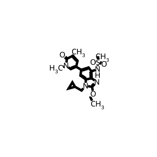 CCOc1nc2c(NS(C)(=O)=O)cc(-c3cc(C)c(=O)n(C)c3)cc2n1CC1CC1